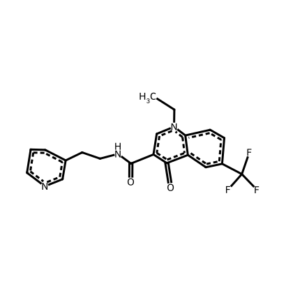 CCn1cc(C(=O)NCCc2cccnc2)c(=O)c2cc(C(F)(F)F)ccc21